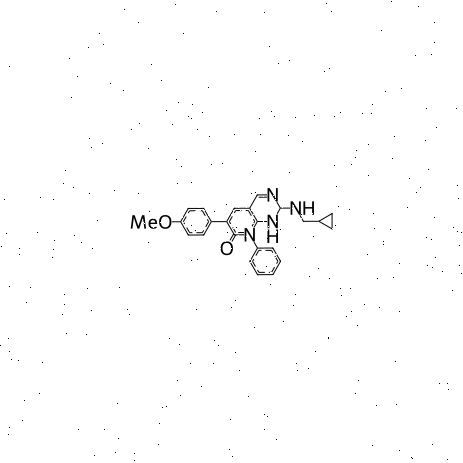 COc1ccc(-c2cc3c(n(-c4ccccc4)c2=O)NC(NCC2CC2)N=C3)cc1